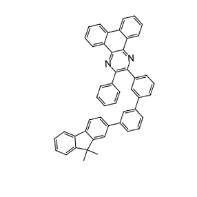 CC1(C)c2ccccc2-c2ccc(-c3cccc(-c4cccc(-c5nc6c7ccccc7c7ccccc7c6nc5-c5ccccc5)c4)c3)cc21